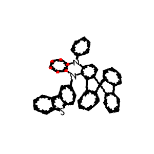 c1ccc(N(c2ccccc2)c2ccc3c(c2N(c2ccccc2)c2ccc4sc5ccccc5c4c2)-c2ccccc2C32c3ccccc3-c3ccccc32)cc1